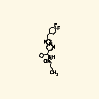 CCCC[S@+]([O-])NC(c1cnn2cc(CC3CCC(F)(F)CC3)nc2c1)C1CCC1